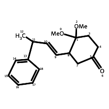 COC1(OC)CCC(=O)CC1C=CC(C)c1ccccc1